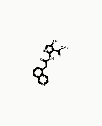 COC(=O)c1c(C#N)c[nH]c1NC(=O)Cc1cccc2cnccc12